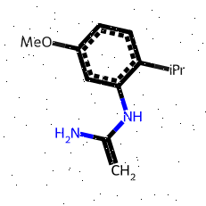 C=C(N)Nc1cc(OC)ccc1C(C)C